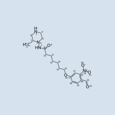 CC1CNCCN1NC(=O)CCCCCCOc1ccc(C=O)c([N+](=O)[O-])c1